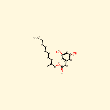 CCCCCCCCCCCCCCCCCC(C)COC(=O)Cc1cc(O)cc(O)c1